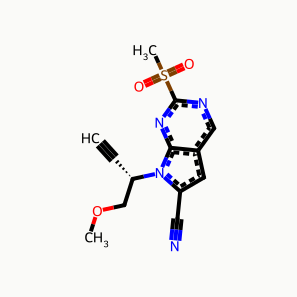 C#C[C@@H](COC)n1c(C#N)cc2cnc(S(C)(=O)=O)nc21